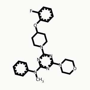 CN(c1ccccc1)c1nc(N2CCOCC2)nc(N2CCC(Oc3ccccc3F)CC2)n1